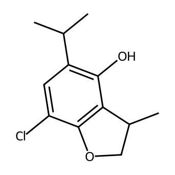 CC(C)c1cc(Cl)c2c(c1O)C(C)CO2